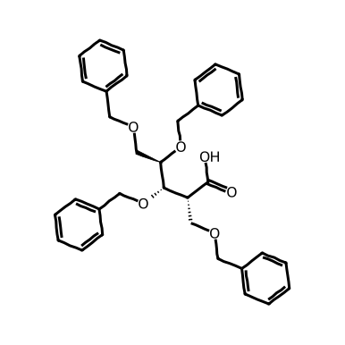 O=C(O)[C@H](COCc1ccccc1)[C@H](OCc1ccccc1)[C@@H](COCc1ccccc1)OCc1ccccc1